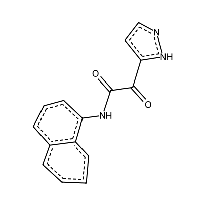 O=C(Nc1cccc2ccccc12)C(=O)c1ccn[nH]1